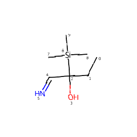 CCC(O)(C=N)[Si](C)(C)C